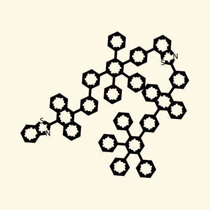 c1ccc(-c2cc(-c3ccc(-c4c5ccccc5c(-c5cccc(-c6nc7cccc(-c8ccc(-c9c(-c%10ccccc%10)cc(-c%10cccc(-c%11cccc(-c%12c%13ccccc%13c(-c%13nc%14ccccc%14s%13)c%13ccccc%12%13)c%11)c%10)c(-c%10ccccc%10)c9-c9ccccc9)cc8)c7s6)c5)c5ccccc45)cc3)c(-c3ccccc3)c(-c3ccccc3)c2-c2ccccc2)cc1